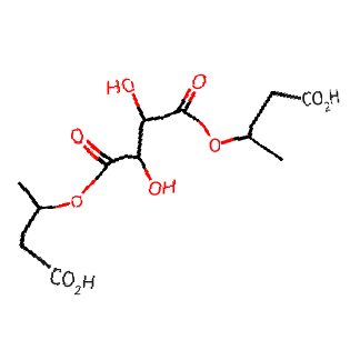 CC(CC(=O)O)OC(=O)C(O)C(O)C(=O)OC(C)CC(=O)O